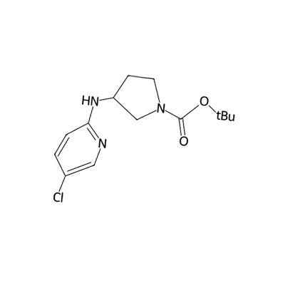 CC(C)(C)OC(=O)N1CCC(Nc2ccc(Cl)cn2)C1